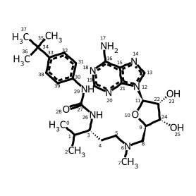 CC(C)[C@@H](CCN(C)C[C@H]1O[C@@H](n2cnc3c(N)ncnc32)[C@H](O)[C@@H]1O)NC(=O)Nc1ccc(C(C)(C)C)cc1